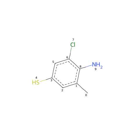 Cc1cc(S)cc(Cl)c1N